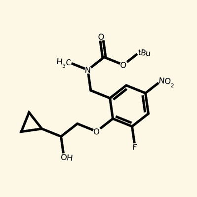 CN(Cc1cc([N+](=O)[O-])cc(F)c1OCC(O)C1CC1)C(=O)OC(C)(C)C